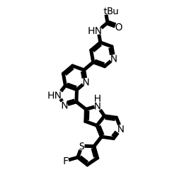 CC(C)(C)C(=O)Nc1cncc(-c2ccc3[nH]nc(-c4cc5c(-c6ccc(F)s6)cncc5[nH]4)c3n2)c1